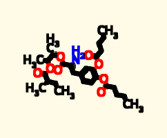 CCCCC(=O)Oc1ccc(C[C@H](N)C(=O)O[C@@H](C)C(C)OC(=O)C(C)CC)cc1OC(=O)CCCC